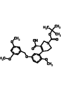 COc1cc(COc2ccc(OC)c(C3=C(C(=O)O)CN(C(=O)OC(C)(C)C)CC3)c2)cc(OC)c1